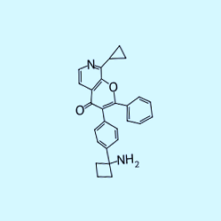 NC1(c2ccc(-c3c(-c4ccccc4)oc4c(C5CC5)nccc4c3=O)cc2)CCC1